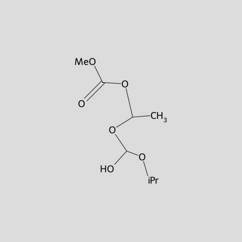 COC(=O)OC(C)OC(O)OC(C)C